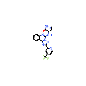 CC[C@@H](Nc1nc2ccccc2c2nc(-c3cc(C(F)(F)F)ccn3)nn12)C(N)=O